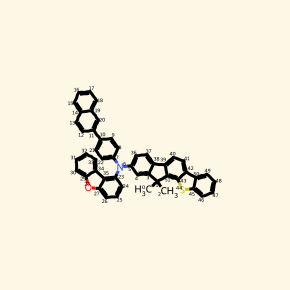 CC1(C)c2cc(N(c3ccc(-c4ccc5ccccc5c4)cc3)c3cccc4oc5ccccc5c34)ccc2-c2ccc3c(sc4ccccc43)c21